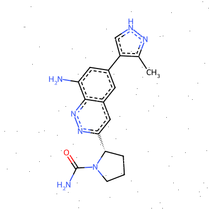 Cc1n[nH]cc1-c1cc(N)c2nnc([C@@H]3CCCN3C(N)=O)cc2c1